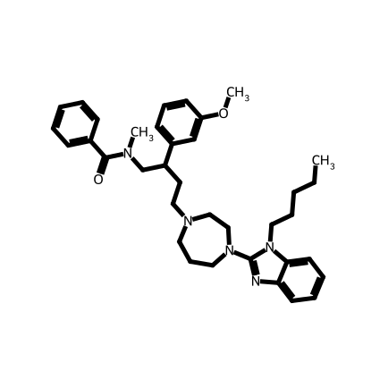 CCCCCn1c(N2CCCN(CCC(CN(C)C(=O)c3ccccc3)c3cccc(OC)c3)CC2)nc2ccccc21